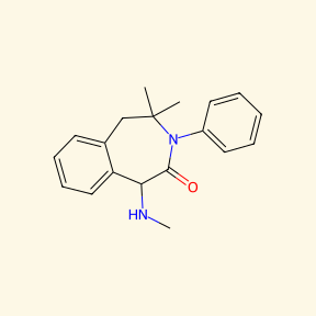 CNC1C(=O)N(c2ccccc2)C(C)(C)Cc2ccccc21